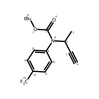 C#CC(C)N(C(=O)OC(C)(C)C)c1ccc(C(F)(F)F)cc1